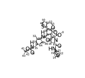 COC(=O)c1nc(C(=O)NC23CCC(CC2)CC3)ccc1-c1cc2c(cc1C(=O)Nc1c(C)cc(CNC(=O)OC(C)(C)C)cc1C)-c1sccc1CCO2